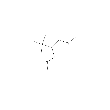 CNCC(CNC)C(C)(C)C